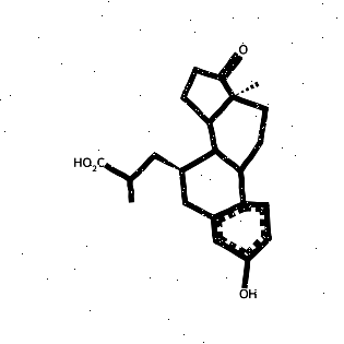 CC(C[C@@H]1Cc2cc(O)ccc2C2CC[C@]3(C)C(=O)CCC3C21)C(=O)O